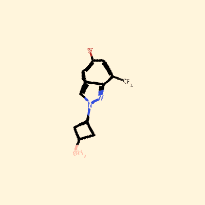 BC1CC(n2cc3cc(Br)cc(C(F)(F)F)c3n2)C1